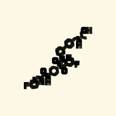 C[C@H](CO)NCc1ccc(-c2cccc(-n3c(=O)n([C@H]4CC[C@@H](NC(=O)c5cn6cc(F)ccc6n5)CC4)c(=O)c4cc(F)cnc43)c2)cc1